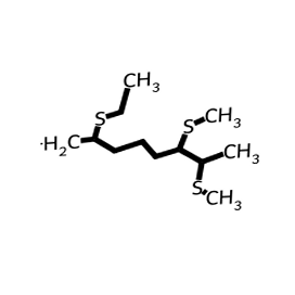 [CH2]C(CCCC(SC)C(C)SC)SCC